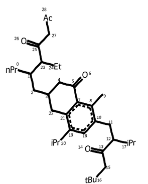 CCCC(CC1CC(=O)c2c(C)c(CC(C(=O)CC(C)(C)C)C(C)C)cc(C(C)C)c2C1)C(CC)C(=O)CC(C)=O